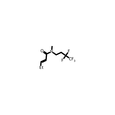 CC/C=C/C(=O)N(C)CCC(F)(F)C(F)(F)F